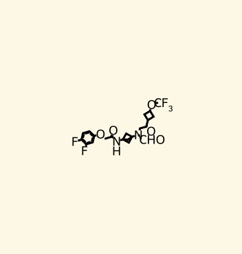 O=CN(CC(=O)C1CC(OC(F)(F)F)C1)C12CC(NC(=O)COc3ccc(F)c(F)c3)(C1)C2